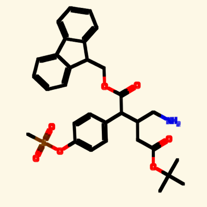 CC(C)(C)OC(=O)CC(CN)C(C(=O)OCC1c2ccccc2-c2ccccc21)c1ccc(OS(C)(=O)=O)cc1